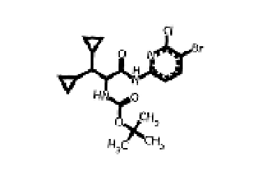 CC(C)(C)OC(=O)NC(C(=O)Nc1ccc(Br)c(Cl)n1)C(C1CC1)C1CC1